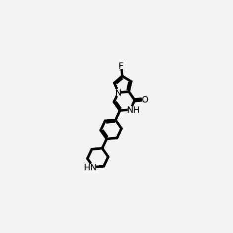 O=c1[nH]c(C2=CC=C(C3CCNCC3)CC2)cn2cc(F)cc12